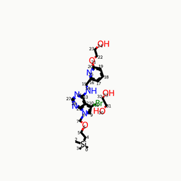 C[Si](C)(C)CCOCn1cc(Br)c2c(NCc3cccc(OCCO)n3)ncnc21.OCCO